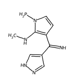 CNc1c(C(=N)c2cn[nH]c2)ccn1P